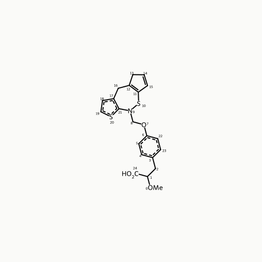 COC(Cc1ccc(OCN2SC3=C(CC=C3)Cc3ccsc32)cc1)C(=O)O